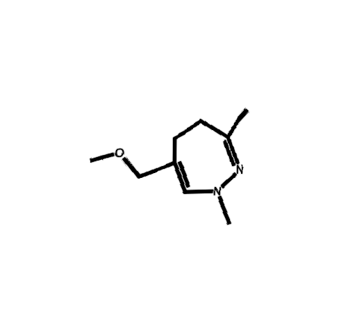 COCC1=CN(C)N=C(C)CC1